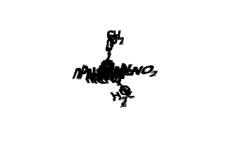 C=CC(=O)OCCCCCOC1=CC(NNC2CCC(N(CCC)CCC)=CC2C)=C(OCCCCCOC(=O)C=C)CC1/N=N/c1ccc([N+](=O)[O-])cc1[N+](=O)[O-]